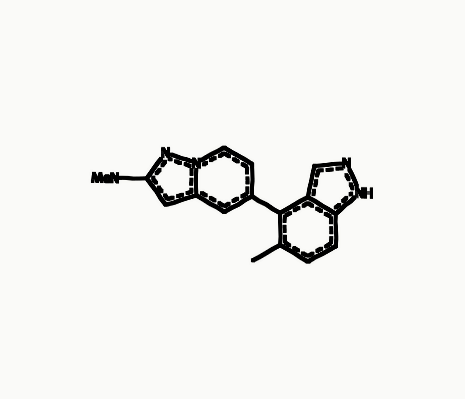 CNc1cc2cc(-c3c(C)ccc4[nH]ncc34)ccn2n1